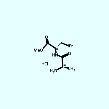 COC(=O)[C@H](CC(C)C)NC(=O)[C@@H](C)N.Cl